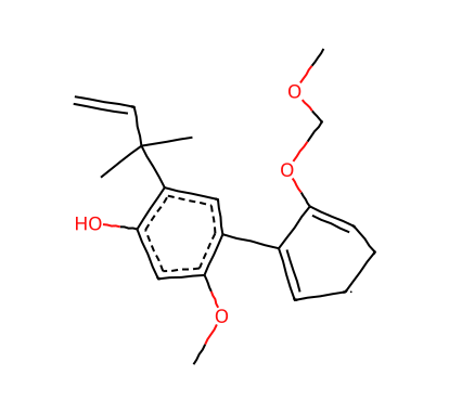 C=CC(C)(C)c1cc(C2=C[CH]CC=C2OCOC)c(OC)cc1O